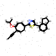 CC#CC1=CCC(c2ncc(-c3cccc4c3CCC4)s2)=CC=C1OC(C)C